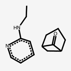 CCNc1ccccn1.O=C1C2CCCC1C2